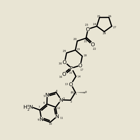 C[C@H](Cn1cnc2c(N)ncnc21)OCP1(=O)OCC(CC(=O)OC2CCCC2)CO1